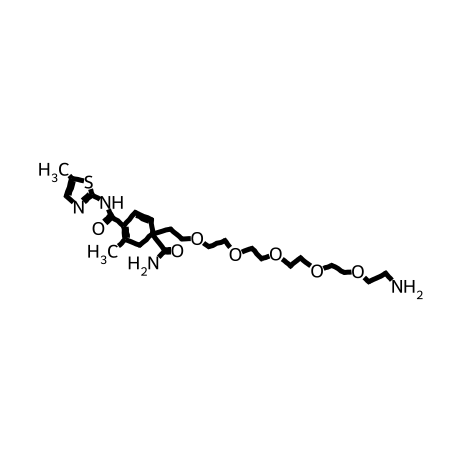 CC1=C(C(=O)Nc2ncc(C)s2)C=CC(CCOCCOCCOCCOCCOCCN)(C(N)=O)C1